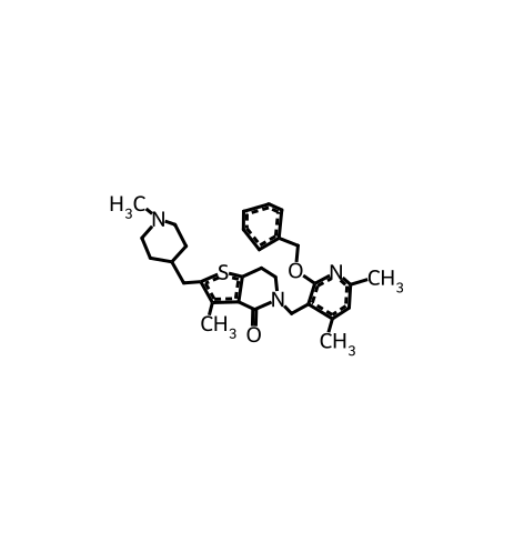 Cc1cc(C)c(CN2CCc3sc(CC4CCN(C)CC4)c(C)c3C2=O)c(OCc2ccccc2)n1